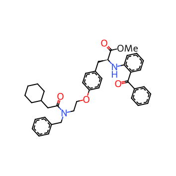 COC(=O)[C@H](Cc1ccc(OCCN(Cc2ccccc2)C(=O)CC2CCCCC2)cc1)Nc1ccccc1C(=O)c1ccccc1